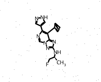 C[C@@H](CF)Nc1nc2c(N3CC4CC3C4)c(-c3cn[nH]c3)ncn2n1